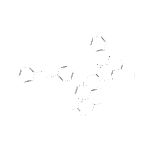 CC(=O)N1C=C(c2cccc(OCc3ccccc3)c2)N(CC(=O)N[C@@H](Cc2ccccc2)C(=O)C(=O)O)C(=O)[C@H]1C(C)C